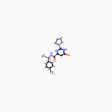 CC(C)[C@@H](NC(=O)c1cc(=O)[nH]c(N2CCCC2)n1)c1ccc(C(F)(F)F)cc1